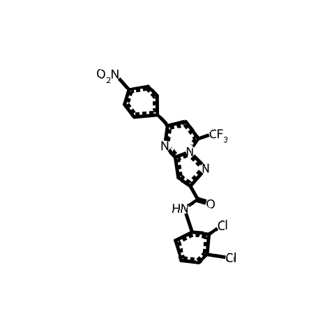 O=C(Nc1cccc(Cl)c1Cl)c1cc2nc(-c3ccc([N+](=O)[O-])cc3)cc(C(F)(F)F)n2n1